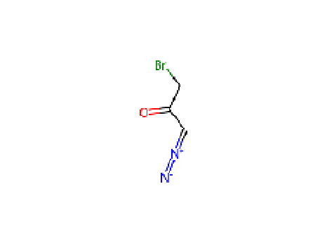 [N-]=[N+]=CC(=O)CBr